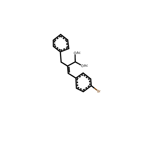 CC(=O)OC(OC(C)=O)C(=Cc1ccc(Br)cc1)Cc1ccccc1